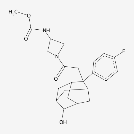 COC(=O)NC1CN(C(=O)CC2(c3ccc(F)cc3)C3CC4CC2CC(C3)C4O)C1